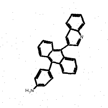 Nc1ccc(-c2c3ccccc3c(-c3cnc4ccccc4c3)c3ccccc23)cc1